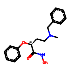 CN(CC[C@@H](Oc1ccccc1)C(=O)NO)Cc1ccccc1